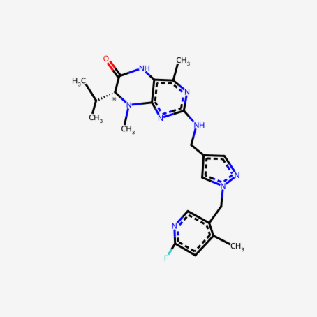 Cc1cc(F)ncc1Cn1cc(CNc2nc(C)c3c(n2)N(C)[C@H](C(C)C)C(=O)N3)cn1